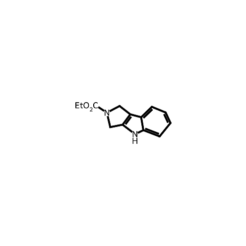 CCOC(=O)N1Cc2[nH]c3ccccc3c2C1